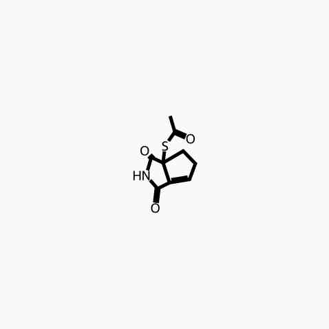 CC(=O)SC12CCC=C1C(=O)NC2=O